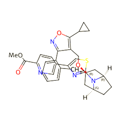 COC(=O)c1ccc(-c2csc(N3[C@@H]4CC[C@H]3C[C@@H](OCc3c(-c5ccccc5C)noc3C3CC3)C4)n2)cn1